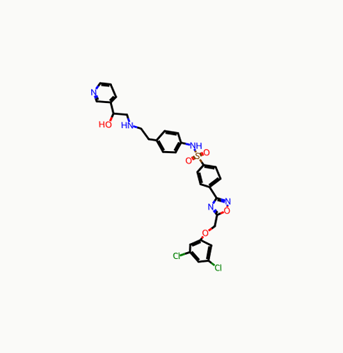 O=S(=O)(Nc1ccc(CCNCC(O)c2cccnc2)cc1)c1ccc(-c2noc(COc3cc(Cl)cc(Cl)c3)n2)cc1